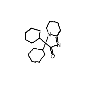 O=C1N=C2CCCCN2C1(C1CCCCC1)C1CCCCC1